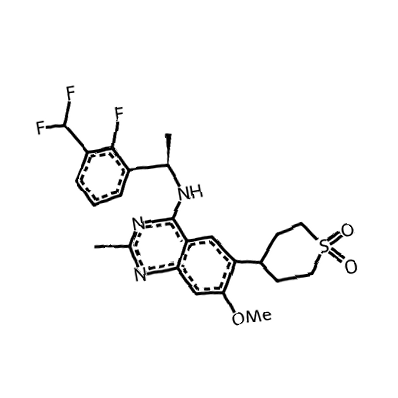 COc1cc2nc(C)nc(N[C@H](C)c3cccc(C(F)F)c3F)c2cc1C1CCS(=O)(=O)CC1